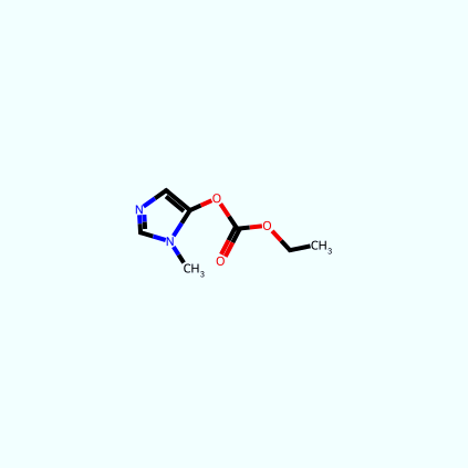 CCOC(=O)Oc1cncn1C